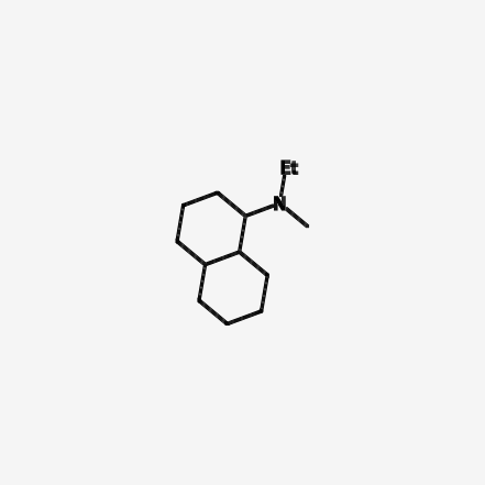 CCN(C)C1CCCC2CCCCC21